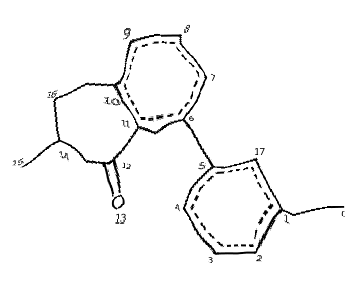 Cc1cccc(-c2cccc3c2C(=O)C(C)C3)c1